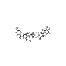 Cc1cc(C(=O)N2CCC(O)CC2)cc(C)c1C=CS(=O)(=O)N1CCC2(CC1)N=C(c1cccc(C(F)(F)F)c1F)NC2=O